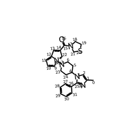 Cc1cn(C2CCN([N@@+]34C=CC=C3C=C(C(=O)N3CCSC3)C4)CC2)c(-c2ccccc2)n1